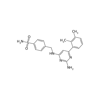 Cc1cccc(-c2cc(NCc3ccc(S(N)(=O)=O)cc3)nc(N)n2)c1C